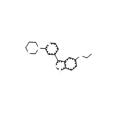 CCOc1ccc2[nH]nc(-c3ccnc(N4CCCNC4)c3)c2c1